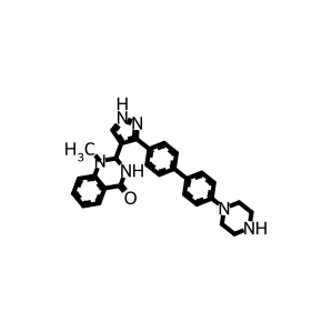 CN1c2ccccc2C(=O)NC1c1c[nH]nc1-c1ccc(-c2ccc(N3CCNCC3)cc2)cc1